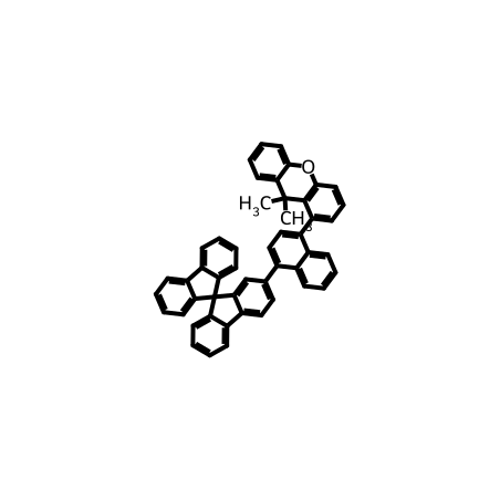 CC1(C)c2ccccc2Oc2cccc(-c3ccc(-c4ccc5c(c4)C4(c6ccccc6-c6ccccc64)c4ccccc4-5)c4ccccc34)c21